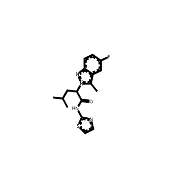 Cc1c2cc(F)ccc2nn1C(CC(C)C)C(=O)Nc1nccs1